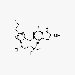 CCCc1nc2c(Cl)cc(C(F)(F)F)c(-c3cc(C)c4c(c3)CC(O)N4)n2n1